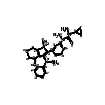 NN(C(=O)N(N)C1CC1)c1cc(-c2c(N(N)c3ccccc3)c3c(n2N)COCC3=O)ccn1